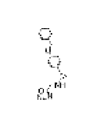 c1ccc(COc2ccc(C3CC3NCc3ncno3)cc2)cc1